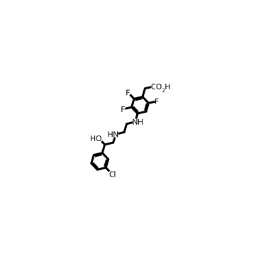 O=C(O)Cc1c(F)cc(NCCNCC(O)c2cccc(Cl)c2)c(F)c1F